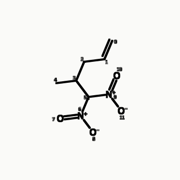 C=CCC(C)[C]([N+](=O)[O-])[N+](=O)[O-]